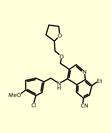 CCc1cc(C#N)cc2c(NCc3ccc(OC)c(Cl)c3)c(COCC3CCCO3)cnc12